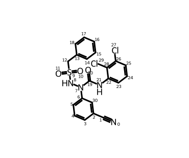 N#Cc1cccc(N(NS(=O)(=O)Cc2ccccc2)C(=O)Nc2cccc(Cl)c2Cl)c1